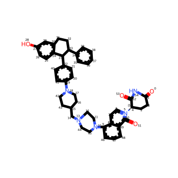 O=C1CC[C@H](n2ccc3c(N4CCN(CC5CCN(c6ccc(C7c8ccc(O)cc8CCC7c7ccccc7)cc6)CC5)CC4)cccc3c2=O)C(=O)N1